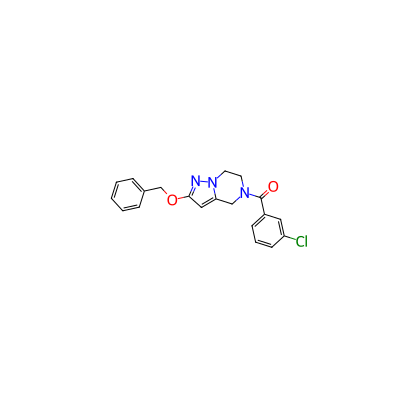 O=C(c1cccc(Cl)c1)N1CCn2nc(OCc3ccccc3)cc2C1